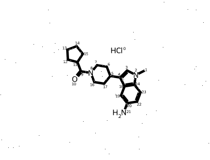 Cl.Cn1cc(C2CCN(C(=O)C3CCCC3)CC2)c2cc(N)ccc21